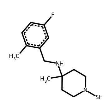 Cc1ccc(F)cc1CNC1(C)CCN(S)CC1